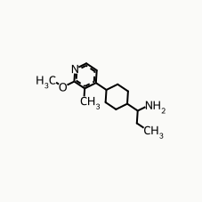 CCC(N)C1CCC(c2ccnc(OC)c2C)CC1